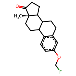 C[C@]12CCC3c4ccc(OCF)cc4CCC3C1CCC2=O